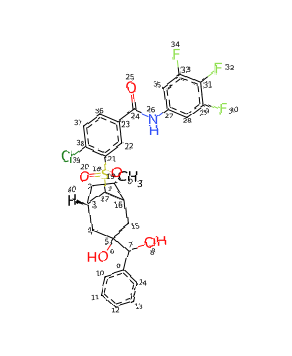 C[C@@H]1C[C@H]2CC(O)(C(O)c3ccccc3)CC1C2S(=O)(=O)c1cc(C(=O)Nc2cc(F)c(F)c(F)c2)ccc1Cl